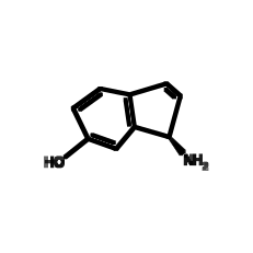 N[C@@H]1C=Cc2ccc(O)cc21